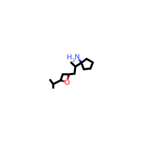 CC(C)C1CC(CC(C)C2(N)CCCC2)O1